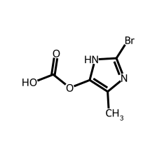 Cc1nc(Br)[nH]c1OC(=O)O